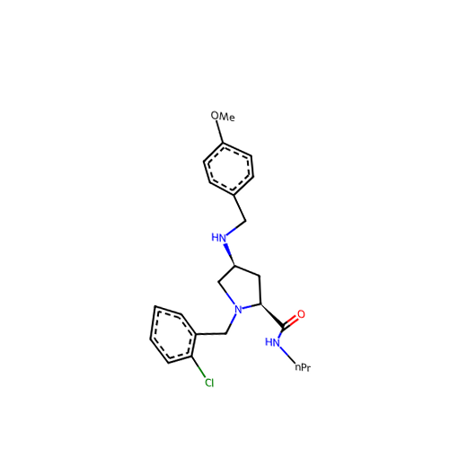 CCCNC(=O)[C@@H]1C[C@H](NCc2ccc(OC)cc2)CN1Cc1ccccc1Cl